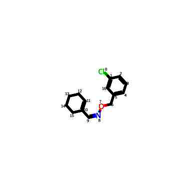 Clc1cccc(CO/N=[C]\C2=CCCCC2)c1